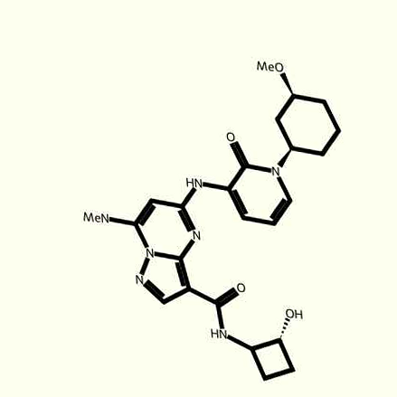 CNc1cc(Nc2cccn([C@@H]3CCC[C@H](OC)C3)c2=O)nc2c(C(=O)NC3CC[C@H]3O)cnn12